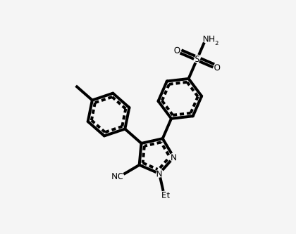 CCn1nc(-c2ccc(S(N)(=O)=O)cc2)c(-c2ccc(C)cc2)c1C#N